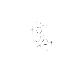 O=C(O)CN=S(=O)(c1cc(B(O)O)cc(C(F)(F)F)c1)c1cc(B(O)O)cc(C(F)(F)F)c1